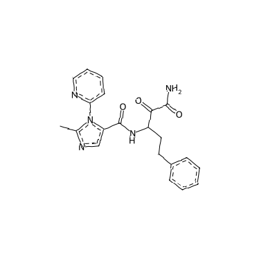 Cc1ncc(C(=O)NC(CCc2ccccc2)C(=O)C(N)=O)n1-c1ccccn1